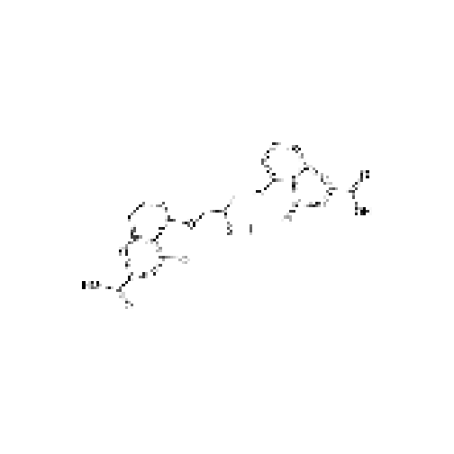 O=C(O)c1cc(=O)c2c(OCC(COc3cccc4oc(C(=O)O)cc(=O)c34)SI)cccc2o1